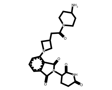 NC1CCN(C(=O)CC2CN(c3cccc4c3C(=O)N(C3CCC(=O)NC3=O)C4=O)C2)CC1